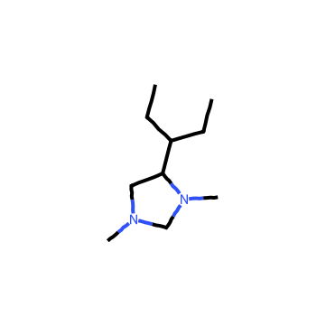 CCC(CC)C1CN(C)CN1C